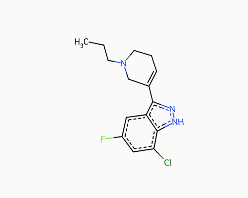 CCCN1CCC=C(c2n[nH]c3c(Cl)cc(F)cc23)C1